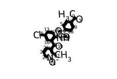 CC(=O)c1ccc(S(=O)(=O)Nc2ccc(Cl)cc2C(=O)c2ccc[n+]([O-])c2C)cc1